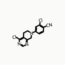 N#Cc1ccc(N2CCc3c(Cl)ncnc3C2)cc1Cl